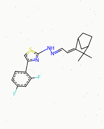 CC1(C)C(=CC=NNc2nc(-c3ccc(F)cc3F)cs2)C2CCC1C2